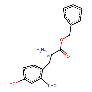 N[C@@H](Cc1ccc(O)cc1C=O)C(=O)OCc1ccccc1